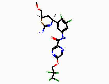 COC[C@@]1(C)C[C@@](C)(c2cc(NC(=O)c3cnc(OCC(F)(F)C(F)F)cn3)cc(F)c2F)N=C(N)S1